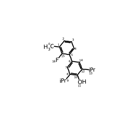 Cc1cccc(-c2cc(C(C)C)c(O)c(C(C)C)c2)c1F